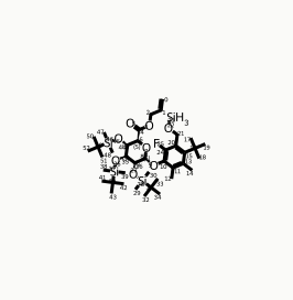 C=CCOC(=O)[C@H]1O[C@@H](Oc2c(C)c(C)c(C(C)(C)C)c(CO[SiH3])c2F)[C@H](O[Si](C)(C)C(C)(C)C)[C@@H](O[Si](C)(C)C(C)(C)C)[C@H]1O[Si](C)(C)C(C)(C)C